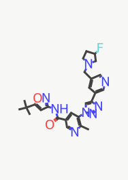 Cc1ncc(C(=O)Nc2cc(C(C)(C)C)on2)cc1-n1cc(-c2cncc(CN3CCC(F)C3)c2)nn1